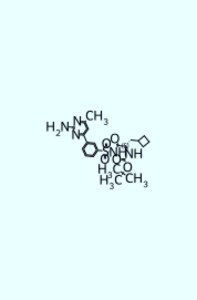 Cc1cc(-c2cccc(S(=O)(=O)NC(=O)[C@H](CC3CCC3)NC(=O)OC(C)(C)C)c2)nc(N)n1